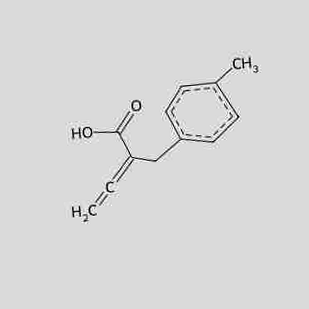 C=C=C(Cc1ccc(C)cc1)C(=O)O